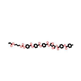 C=CC(=O)OCCCCOC(=O)Oc1ccc(C(=O)Oc2ccc(C(=O)Oc3ccc(C(=O)O[C@H]4COC5C4OC[C@H]5OC(=O)c4ccc(OC(=O)c5ccc(C)cc5)cc4)cc3)cc2)cc1